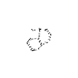 [Na].c1ccc2ncccc2c1